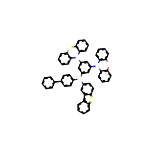 c1ccc(-c2ccc(N(c3cc(N4c5ccccc5Oc5ccccc54)cc(N4c5ccccc5Sc5ccccc54)c3)c3ccc4sc5ccccc5c4c3)cc2)cc1